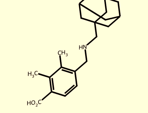 Cc1c(CNCC23CC4CC(CC(C4)C2)C3)ccc(C(=O)O)c1C